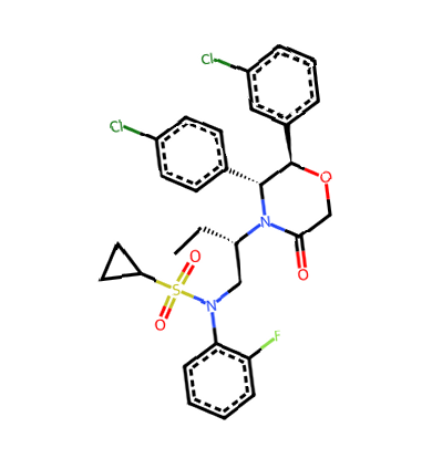 CC[C@@H](CN(c1ccccc1F)S(=O)(=O)C1CC1)N1C(=O)CO[C@H](c2cccc(Cl)c2)[C@H]1c1ccc(Cl)cc1